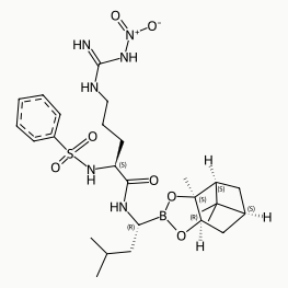 CC(C)C[C@H](NC(=O)[C@H](CCCNC(=N)N[N+](=O)[O-])NS(=O)(=O)c1ccccc1)B1O[C@@H]2C[C@@H]3C[C@@H](C3(C)C)[C@]2(C)O1